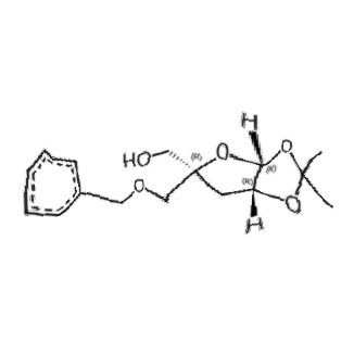 CC1(C)O[C@H]2O[C@](CO)(COCc3ccccc3)C[C@H]2O1